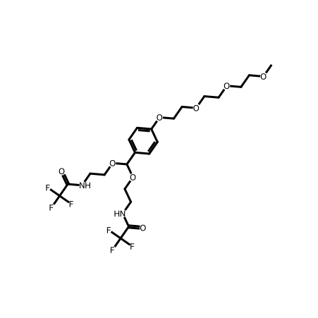 COCCOCCOCCOc1ccc(C(OCCNC(=O)C(F)(F)F)OCCNC(=O)C(F)(F)F)cc1